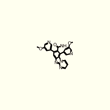 COc1cncc(-c2cc3nc4ncccn4c3c(-c3cncc(OC)c3)c2C(N)=O)c1